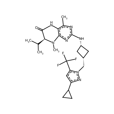 Cc1nc(N[C@H]2C[C@@H](Cn3nc(C4CC4)cc3C(F)(F)F)C2)nc2c1NC(=O)[C@H](C(C)C)N2C